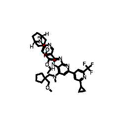 CCOC(=O)COC1C[C@H]2CC[C@@H](C1)N2c1cnc(-c2nc3nc(-c4cc(C5CC5)nc(C(F)(F)F)c4)cc(N(C)CC4(COC)CCCC4)c3[nH]2)cn1